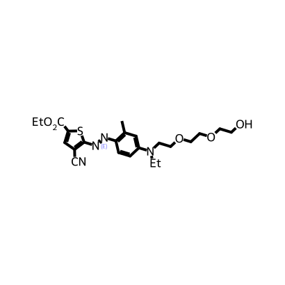 CCOC(=O)c1cc(C#N)c(/N=N/c2ccc(N(CC)CCOCCOCCO)cc2C)s1